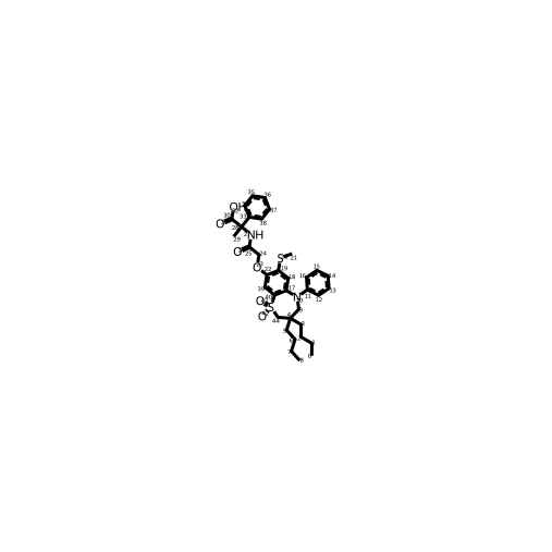 CCCCC1(CCCC)CN(c2ccccc2)c2cc(SC)c(OCC(=O)NC(C)(C(=O)O)c3ccccc3)cc2S(=O)(=O)C1